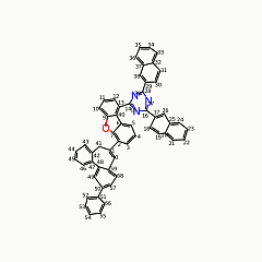 C1=C(c2cccc3c2oc2cccc(-c4nc(-c5ccc6ccccc6c5)nc(-c5ccc6ccccc6c5)n4)c23)Cc2ccccc2-c2cc(-c3ccccc3)ccc21